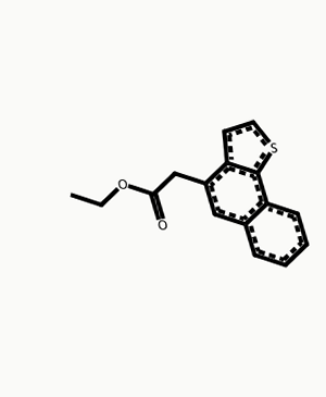 CCOC(=O)Cc1cc2ccccc2c2sccc12